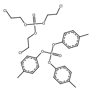 Cc1ccc(OP(=O)(Oc2ccc(C)cc2)Oc2ccc(C)cc2)cc1.O=P(OCCCl)(OCCCl)OCCCl